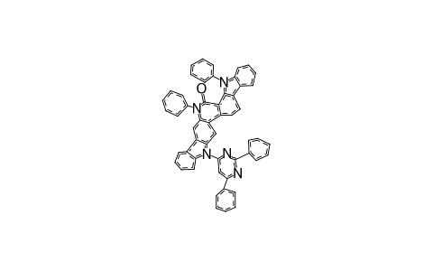 O=c1c2c(ccc3c4ccccc4n(-c4ccccc4)c32)c2cc3c(cc2n1-c1ccccc1)c1ccccc1n3-c1cc(-c2ccccc2)nc(-c2ccccc2)n1